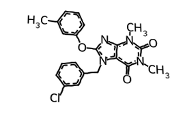 Cc1cccc(Oc2nc3c(c(=O)n(C)c(=O)n3C)n2Cc2cccc(Cl)c2)c1